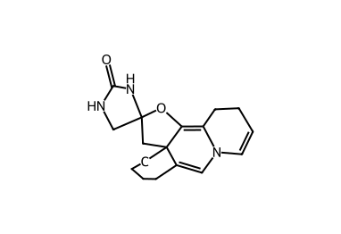 O=C1NCC2(CC34CCCCC3=CN3C=CCCC3=C4O2)N1